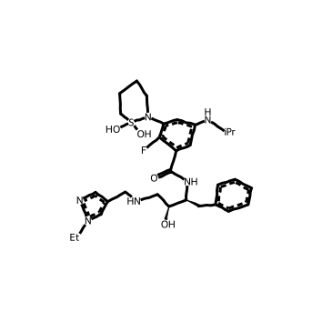 CCn1cc(CNC[C@H](O)[C@H](Cc2ccccc2)NC(=O)c2cc(NC(C)C)cc(N3CCCCS3(O)O)c2F)cn1